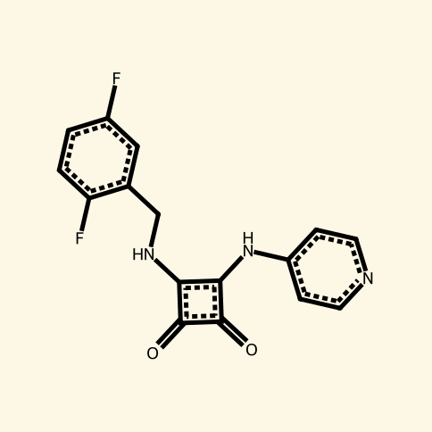 O=c1c(NCc2cc(F)ccc2F)c(Nc2ccncc2)c1=O